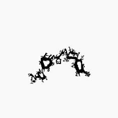 CN(C)C1CCN(c2ccc(NC(=O)Cn3cnc(-c4ccc(F)cc4)c3)cc2)C1